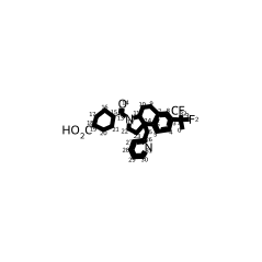 CC(F)(c1ccc2c(c1)CCC1N(C(=O)[C@H]3CC[C@H](C(=O)O)CC3)CCC21Cc1ccccn1)C(F)(F)F